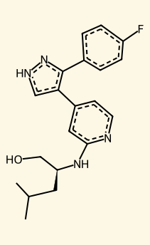 CC(C)C[C@@H](CO)Nc1cc(-c2c[nH]nc2-c2ccc(F)cc2)ccn1